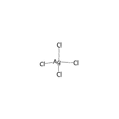 [Cl][Ag]([Cl])([Cl])[Cl]